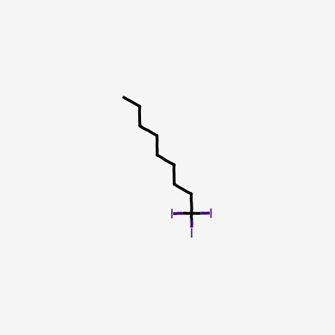 CCCCCCCCC(I)(I)I